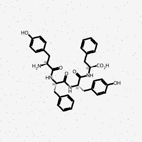 N[C@@H](Cc1ccc(O)cc1)C(=O)N[C@@H](Cc1ccccc1)C(=O)N[C@@H](Cc1ccc(O)cc1)C(=O)N[C@@H](Cc1ccccc1)C(=O)O